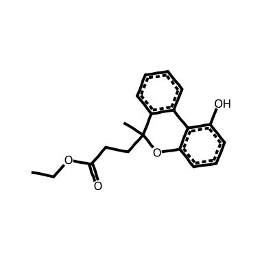 CCOC(=O)CCC1(C)Oc2cccc(O)c2-c2ccccc21